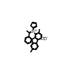 C/[C](c1ccccc1)=[Ti+2](\[C]1=CC=CC1)[c]1c(C)ccc2c1Cc1cc(C)ccc1-2.[Cl-].[Cl-]